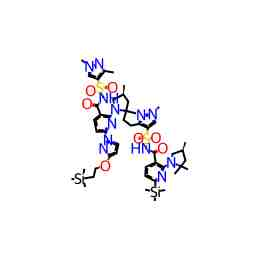 Cc1nn(C)cc1S(=O)(=O)NC(=O)c1ccc(-n2ccc(OCC[Si](C)(C)C)n2)nc1N1C[C@@H](C)CC1(C)CCc1nn(C)cc1S(=O)(=O)NC(=O)c1ccc([Si](C)(C)C)nc1N1C[C@@H](C)CC1(C)C